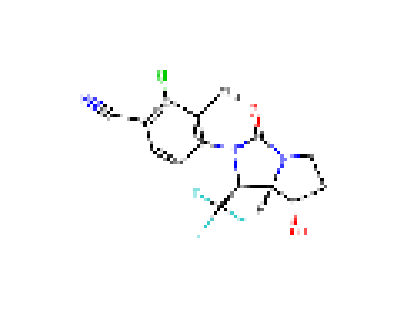 Cc1c(N2C(=O)N3CC[C@@H](O)[C@@H]3[C@H]2C(F)(F)F)ccc(C#N)c1Cl